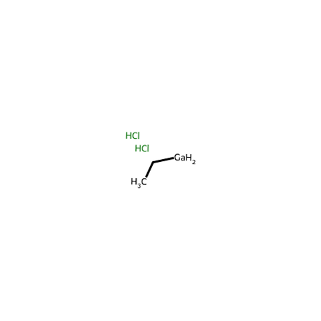 C[CH2][GaH2].Cl.Cl